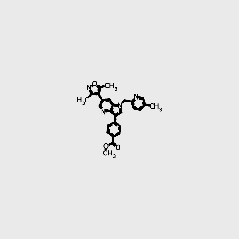 COC(=O)c1ccc(-c2cn(Cc3ccc(C)cn3)c3cc(-c4c(C)noc4C)cnc23)cc1